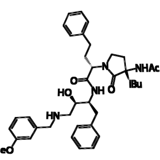 CC[C@H](C)C1(NC(C)=O)CCN([C@@H](CCc2ccccc2)C(=O)N[C@@H](Cc2ccccc2)[C@H](O)CNCc2cccc(OC)c2)C1=O